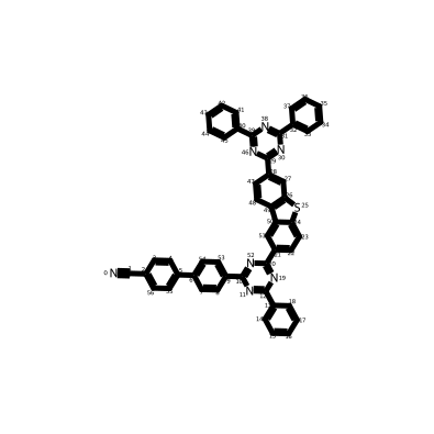 N#Cc1ccc(-c2ccc(-c3nc(-c4ccccc4)nc(-c4ccc5sc6cc(-c7nc(-c8ccccc8)nc(-c8ccccc8)n7)ccc6c5c4)n3)cc2)cc1